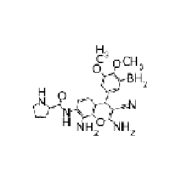 Bc1cc(C2C(C#N)=C(N)Oc3c2ccc(NC(=O)C2CCCN2)c3N)cc(OC)c1OC